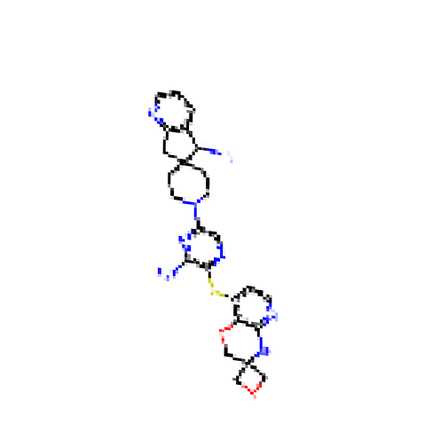 Nc1nc(N2CCC3(CC2)Cc2ncccc2[C@H]3N)cnc1Sc1ccnc2c1OCC1(COC1)N2